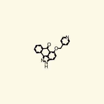 O=C1c2ccccc2-c2n[nH]c3ccc(OCc4ccncc4)c1c23